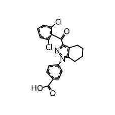 O=C(O)c1ccc(-n2nc(C(=O)c3c(Cl)cccc3Cl)c3c2CCCC3)cc1